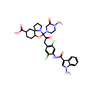 CN1CCN(C(OC2CCC(C(=O)O)CC2)(C(=O)Cc2cc(Cl)c(NC(=O)c3cn(C)c4ccccc34)cc2Cl)N2CCCC2)CC1=O